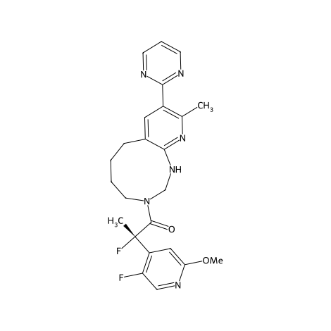 COc1cc([C@](C)(F)C(=O)N2CCCCc3cc(-c4ncccn4)c(C)nc3NC2)c(F)cn1